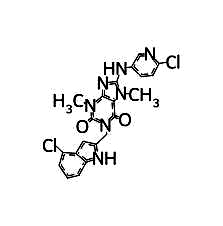 Cn1c(Nc2ccc(Cl)nc2)nc2c1c(=O)n(Cc1cc3c(Cl)cccc3[nH]1)c(=O)n2C